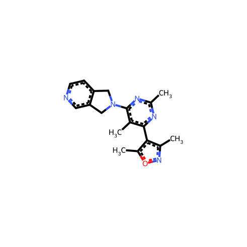 Cc1nc(-c2c(C)noc2C)c(C)c(N2Cc3ccncc3C2)n1